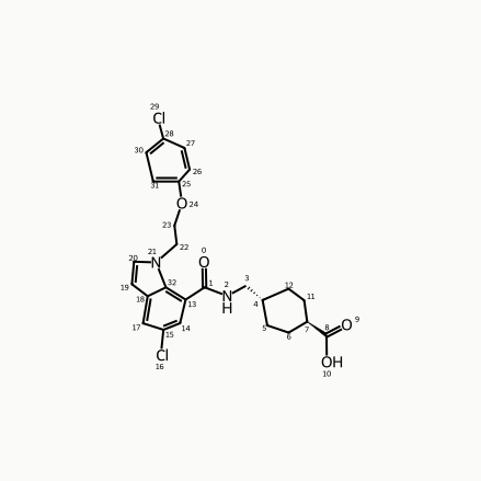 O=C(NC[C@H]1CC[C@H](C(=O)O)CC1)c1cc(Cl)cc2ccn(CCOc3ccc(Cl)cc3)c12